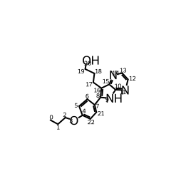 CCCOc1ccc(-c2[nH]c3nccnc3c2CCCO)cc1